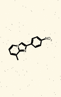 Cc1cccn2cc(-c3ccc([N+](=O)[O-])cc3)nc12